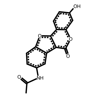 CC(=O)Nc1ccc2oc3c4ccc(O)cc4oc(=O)c3c2c1